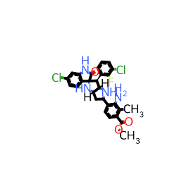 COC(=O)c1ccc(C2C[C@@H]3N[C@@]4(C(=O)Nc5cc(Cl)ccc54)[C@@H](c4cccc(Cl)c4F)[C@@H]3N2)c(N)c1C